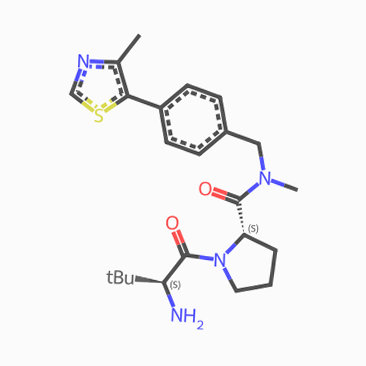 Cc1ncsc1-c1ccc(CN(C)C(=O)[C@@H]2CCCN2C(=O)[C@@H](N)C(C)(C)C)cc1